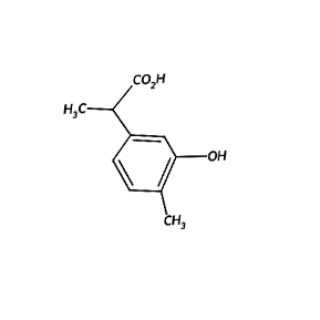 Cc1ccc(C(C)C(=O)O)cc1O